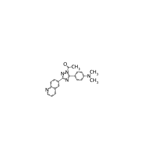 CC(=O)n1nc(-c2ccc3ncccc3c2)nc1-c1ccc(N(C)C)cc1